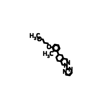 COCCCOc1cccc(C2CCC3=C(C=NN(c4ncccn4)C3)C2)c1C